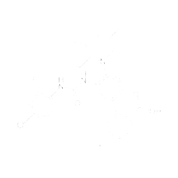 CCC(CC)N(CC(C)C)c1ccc(-c2cc(F)ccc2C(=O)O)cc1NC(=O)Nc1ccc(Cl)cc1F